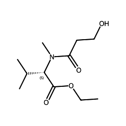 CCOC(=O)[C@H](C(C)C)N(C)C(=O)CCO